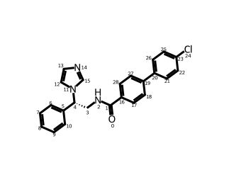 O=C(NC[C@H](c1ccccc1)n1ccnc1)c1ccc(-c2ccc(Cl)cc2)cc1